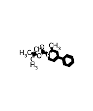 CC1CC(c2ccccc2)=CCN1C(=O)OC(C)(C)C